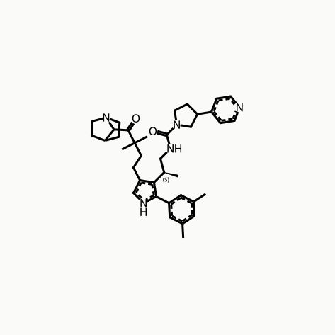 Cc1cc(C)cc(-c2[nH]cc(CCC(C)(C)C(=O)C3C4CCN3CC4)c2[C@H](C)CNC(=O)N2CCC(c3ccncc3)C2)c1